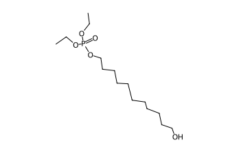 CCOP(=O)(OCC)OCCCCCCCCCCCO